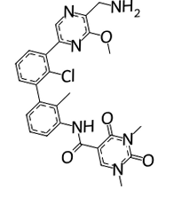 COc1nc(-c2cccc(-c3cccc(NC(=O)c4cn(C)c(=O)n(C)c4=O)c3C)c2Cl)cnc1CN